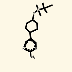 CC(C)(C)[Si](C)(C)OC1CCC(c2cnc(N)nc2)CC1